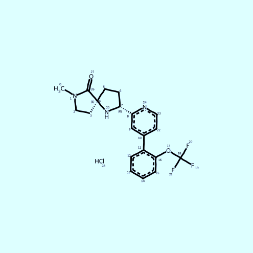 CN1CC[C@@]2(CC[C@H](c3cc(-c4ccccc4OC(F)(F)F)ccn3)N2)C1=O.Cl